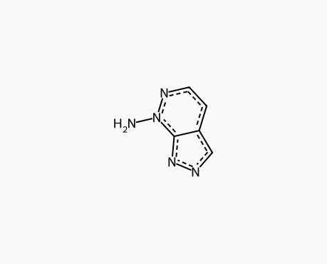 Nn1nccc2cnnc1-2